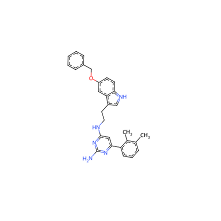 Cc1cccc(-c2cc(NCCc3c[nH]c4ccc(OCc5ccccc5)cc34)nc(N)n2)c1C